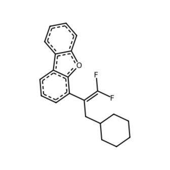 FC(F)=C(CC1CCCCC1)c1cccc2c1oc1ccccc12